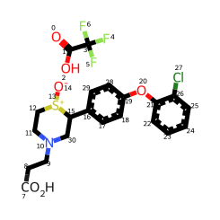 O=C(O)C(F)(F)F.O=C(O)CCN1CC[S+]([O-])C(c2ccc(Oc3ccccc3Cl)cc2)C1